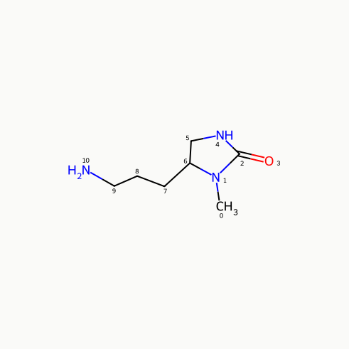 CN1C(=O)NCC1CCCN